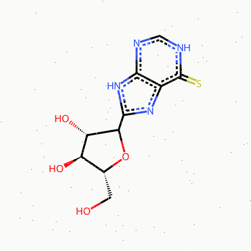 OC[C@H]1OC(c2nc3c(=S)[nH]cnc3[nH]2)[C@@H](O)[C@@H]1O